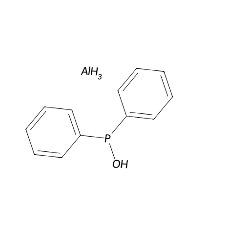 OP(c1ccccc1)c1ccccc1.[AlH3]